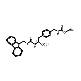 CC(C)(C)OC(=O)NCc1ccc(C[C@H](NC(=O)OCC2c3ccccc3-c3ccccc32)C(=O)O)cc1